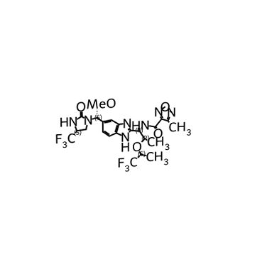 COC[C@H](c1ccc2[nH]c([C@@H](NC(=O)c3nonc3C)[C@@H](C)O[C@@H](C)C(F)(F)F)nc2c1)N1C[C@@H](C(F)(F)F)NC1=O